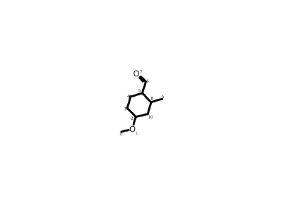 COC1CCC(C=O)C(C)C1